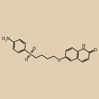 O=c1ccc2cc(OCCCCS(=O)(=O)c3ccc([N+](=O)[O-])cc3)ccc2[nH]1